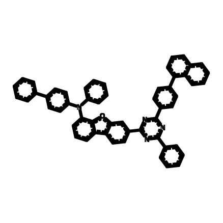 c1ccc(-c2ccc(N(c3ccccc3)c3cccc4c3oc3cc(-c5nc(-c6ccccc6)nc(-c6ccc(-c7cccc8ccccc78)cc6)n5)ccc34)cc2)cc1